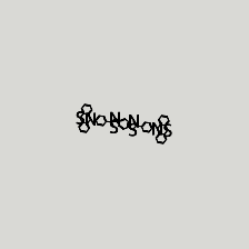 c1ccc2c(c1)Sc1ccccc1N2c1ccc(-c2nc3cc4nc(-c5ccc(N6c7ccccc7Sc7ccccc76)cc5)sc4cc3s2)cc1